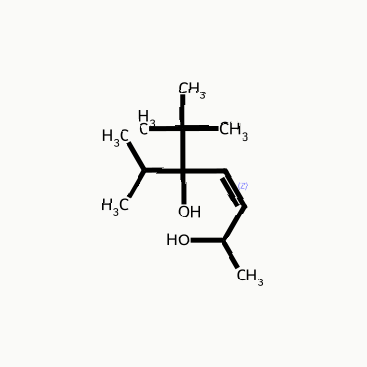 CC(O)/C=C\C(O)(C(C)C)C(C)(C)C